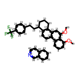 COc1cccc2c1c(OC)cc1c3c(ccc12)C(CCc1ccc(C(F)(F)F)cc1)CCC3.c1ccc2cnccc2c1